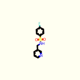 O=S(=O)(NCc1cccnc1)c1ccc(F)cc1